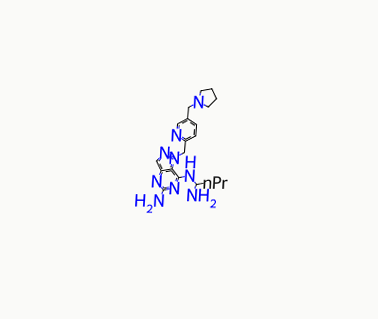 CCCC(N)Nc1nc(N)nc2cnn(Cc3ccc(CN4CCCC4)cn3)c12